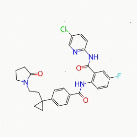 O=C(Nc1ccc(F)cc1C(=O)Nc1ccc(Cl)cn1)c1ccc(C2(CCN3CCCC3=O)CC2)cc1